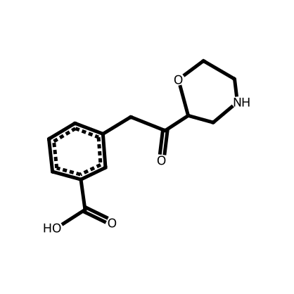 O=C(O)c1cccc(CC(=O)C2CNCCO2)c1